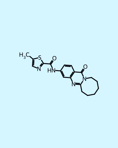 Cc1cnc(C(=O)Nc2ccc3c(=O)n4c(nc3c2)CCCCCC4)s1